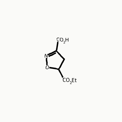 CCOC(=O)C1CC(C(=O)O)=NO1